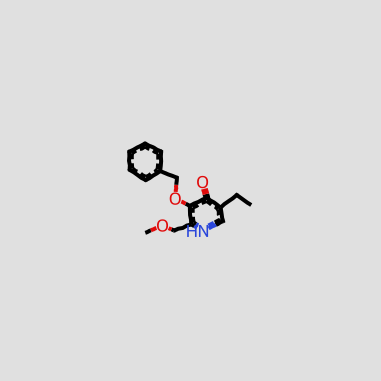 CCc1c[nH]c(COC)c(OCc2ccccc2)c1=O